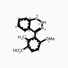 COc1ccc(C(=O)O)c(C)c1C1=NNSc2ccccc21